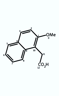 COc1ccc2ccccc2c1CC(=O)O